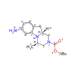 C[C@@H]1CN(C(=O)OC(C)(C)C)C[C@H]2Cc3ccc(N)cc3N21